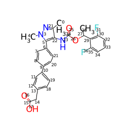 Cc1nn(C)c(-c2ccc(-c3ccc(CC(=O)O)cc3)cc2)c1NC(=O)OC(C)c1c(F)cccc1F